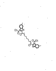 CCC(=O)n1c(C(=O)SCCCCCSC(=O)c2nc3ccc(C)cc3n2C(=O)CC)nc2cc(C)ccc21